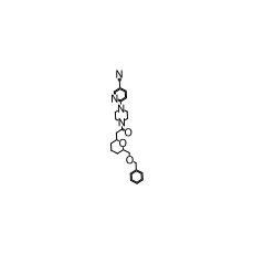 N#Cc1ccc(N2CCN(C(=O)CC3CCCC(COCc4ccccc4)O3)CC2)nc1